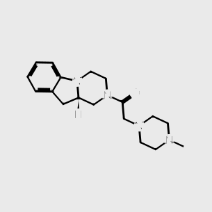 CN1CCN(CC(=O)N2CCN3c4ccccc4C[C@H]3C2)CC1